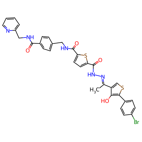 C/C(=N\NC(=O)c1ccc(C(=O)NCc2ccc(C(=O)NCc3ccccn3)cc2)s1)c1csc(-c2ccc(Br)cc2)c1O